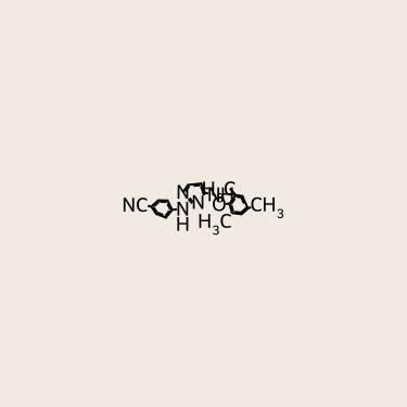 Cc1cc(C)c(ONc2ccnc(Nc3ccc(C#N)cc3)n2)c(C)c1